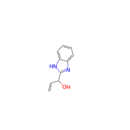 C=CC(O)c1nc2ccccc2[nH]1